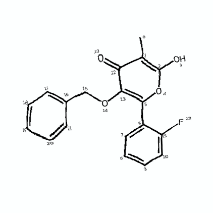 Cc1c(O)oc(-c2ccccc2F)c(OCc2ccccc2)c1=O